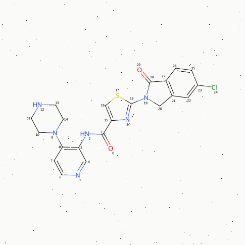 O=C(Nc1cnccc1N1CCNCC1)c1csc(N2Cc3cc(Cl)ccc3C2=O)n1